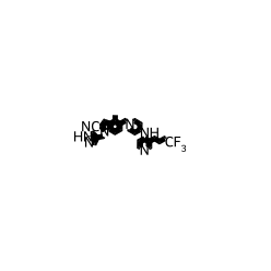 Cc1c(CN2CCC(Nc3ccncc3CCCC(F)(F)F)CC2)ccc2c1cc(C#N)n2Cc1cn[nH]c1